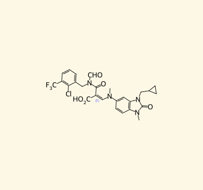 CN(/C=C(/C(=O)O)C(=O)N(C=O)Cc1cccc(C(F)(F)F)c1Cl)c1ccc2c(c1)n(CC1CC1)c(=O)n2C